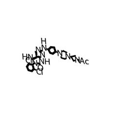 CC(=O)N1CC(N2CCN(c3ccc(Nc4ncc5c(=N)n(-c6c(Cl)cccc6Cl)c(=O)[nH]c5n4)cc3)CC2)C1